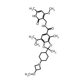 COC1CN(C2CCC(C3(C)Oc4c(N(C)C)cc(C(=O)NCc5c(SC)cc(C)[nH]c5=O)c(C)c4O3)CC2)C1